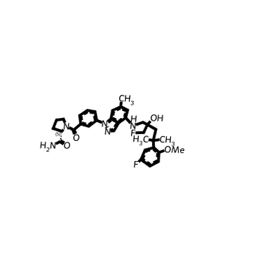 COc1ccc(F)cc1C(C)(C)CC(O)(CF)CNc1cc(C)cc2c1cnn2-c1cccc(C(=O)N2CCC[C@H]2C(N)=O)c1